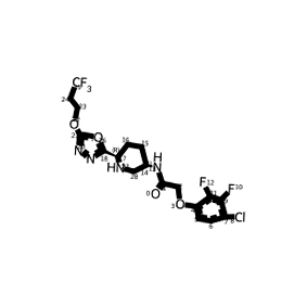 O=C(COc1ccc(Cl)c(F)c1F)N[C@H]1CC[C@H](c2nnc(OCCC(F)(F)F)o2)NC1